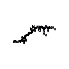 CNc1nnc(CCCCc2nnc(NC(=O)C/C(N)=N/NN)s2)s1